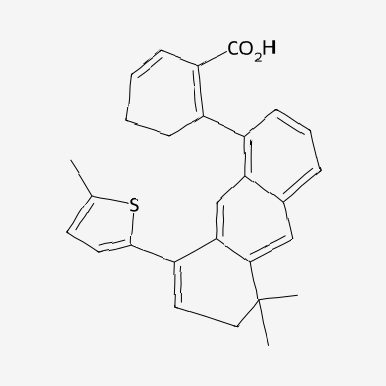 Cc1ccc(C2=CCC(C)(C)c3cc4cccc(C5=C(C(=O)O)C=CCC5)c4cc32)s1